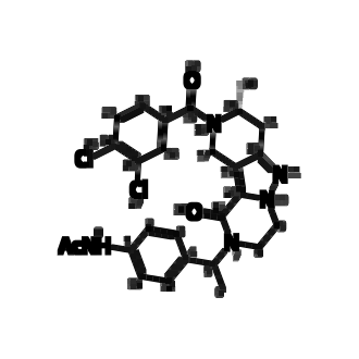 CC(=O)Nc1ccc(C(C)N2CCn3nc4c(c3C2=O)CN(C(=O)c2ccc(Cl)c(Cl)c2)[C@H](C)C4)cc1